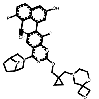 C#Cc1c(F)ccc2cc(O)cc(-c3c(F)cc4c(N5CC6CCC(C5)N6)nc(OCC5(CN6CCOC7(COC7)C6)CC5)nc4c3F)c12